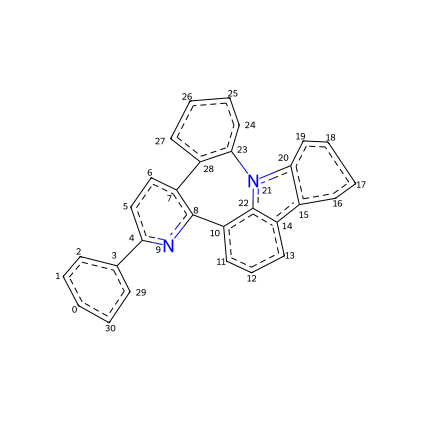 c1ccc(-c2ccc3c(n2)-c2cccc4c5ccccc5n(c24)-c2ccccc2-3)cc1